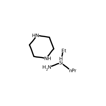 C1CNCCN1.CCC[SiH](N)CC